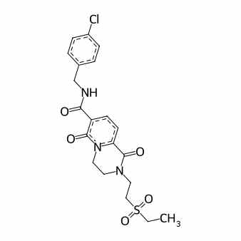 CCS(=O)(=O)CCN1CCn2c(ccc(C(=O)NCc3ccc(Cl)cc3)c2=O)C1=O